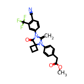 C=C1N(c2ccc(C#N)c(C(F)(F)F)c2)C(=O)C2(CCC2)N1c1ccc(CC(=O)OC)cc1